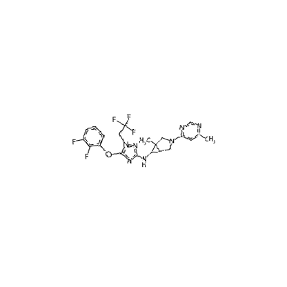 Cc1cc(N2CC3C(Nc4nc(Oc5cccc(F)c5F)n(CC(F)(F)F)n4)C3(C)C2)ncn1